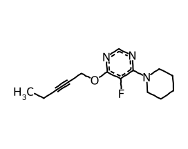 CCC#CCOc1ncnc(N2CCCCC2)c1F